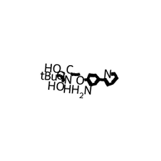 CC(C)(C)OC(O)N[C@@H](COc1ccc(-c2ccccn2)cc1N)C(=O)O